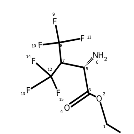 CCOC(=O)[C@@H](N)C(C(F)(F)F)C(F)(F)F